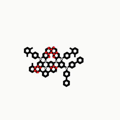 Cc1cccc(C)c1-c1ccc(N2c3ccc(-c4c(C)cccc4C)cc3B3c4cc5c(cc4Bc4cc(N(c6ccc(-c7ccccc7)cc6)c6ccc(-c7ccccc7)cc6)cc2c43)N(c2c(-c3ccccc3)cccc2-c2ccccc2)c2cc(-c3c(C)cccc3C)cc3c2B5c2cc(-c4c(C)cccc4C)ccc2N3c2ccc(-c3c(C)cccc3C)cc2)cc1